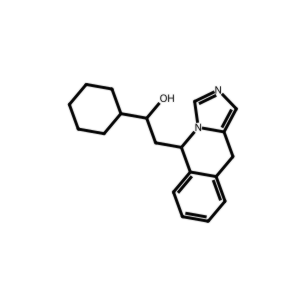 OC(CC1c2ccccc2Cc2cncn21)C1CCCCC1